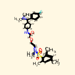 Cc1cc(C)c(S(=O)(=O)N(C)CCOCC(=O)NC2CCC(C(c3ccc(F)cc3)N(C)C)CC2)c(C)c1